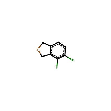 Fc1c(Br)ccc2c1CSC2